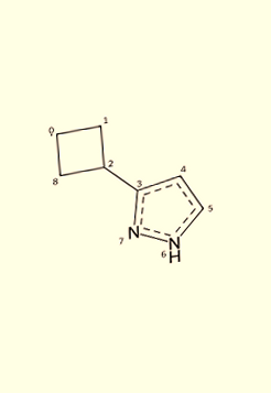 [CH]1CC(c2cc[nH]n2)C1